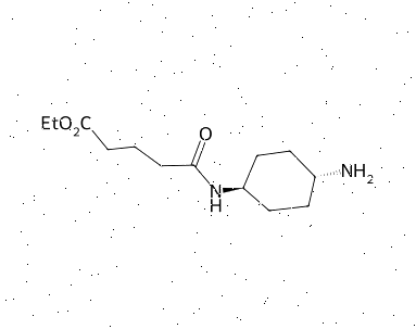 CCOC(=O)CCCC(=O)N[C@H]1CC[C@H](N)CC1